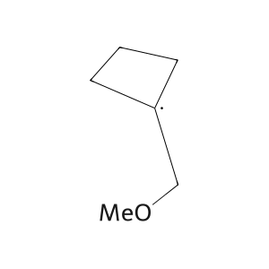 COC[C]1CCC1